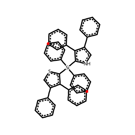 c1ccc(-c2c[nH]c([Si](c3ccccc3)(c3ccccc3)c3scc(-c4ccccc4)c3-c3ccccc3)c2-c2ccccc2)cc1